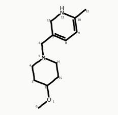 COC1CCN(CC2=CC=C(C)NC2)CC1